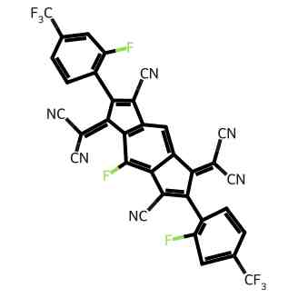 N#CC(C#N)=C1C(c2ccc(C(F)(F)F)cc2F)=C(C#N)c2c1cc1c(c2F)C(=C(C#N)C#N)C(c2ccc(C(F)(F)F)cc2F)=C1C#N